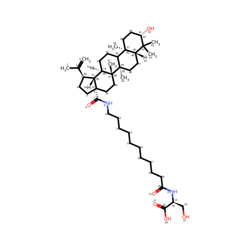 C=C(C)[C@@H]1CC[C@]2(C(=O)NCCCCCCCCCCC(=O)N[C@@H](CO)C(=O)O)CC[C@]3(C)[C@H](CCC4[C@@]5(C)CC[C@H](O)C(C)(C)[C@@H]5CC[C@]43C)[C@@H]12